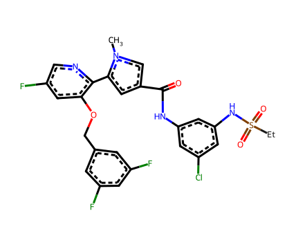 CCS(=O)(=O)Nc1cc(Cl)cc(NC(=O)c2cc(-c3ncc(F)cc3OCc3cc(F)cc(F)c3)n(C)c2)c1